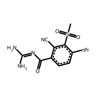 CCCc1ccc(C(=O)N=C(N)N)c(C#N)c1S(C)(=O)=O